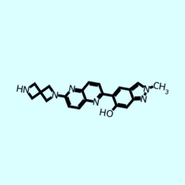 Cn1cc2cc(-c3ccc4nc(N5CC6(CNC6)C5)ccc4n3)c(O)cc2n1